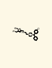 CC(C)Cc1cc(CNCCN2CCN(C(c3ccccc3)c3ccc(Cl)cc3)CC2)nn1C(C)(C)C